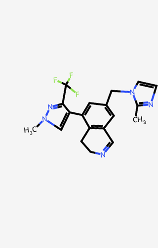 Cc1nccn1Cc1cc2c(c(-c3cn(C)nc3C(F)(F)F)c1)CCN=C2